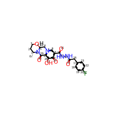 C[C@@H]1CCO[C@H]2Cn3cc(C(=O)NNC(=O)Cc4ccc(F)cc4)c(=O)c(O)c3C(=O)N12